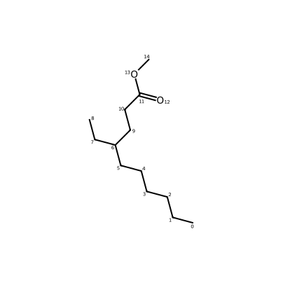 CCCCCCC(CC)CCC(=O)OC